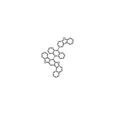 c1ccc2c(c1)ccc1oc3c(-c4c5ccccc5c(-c5ccc6oc7ccccc7c6c5)c5ccccc45)c4c(cc3c12)oc1ccccc14